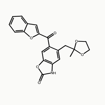 CC1(Cc2cc3[nH]c(=O)oc3cc2C(=O)c2cc3ccccc3o2)OCCO1